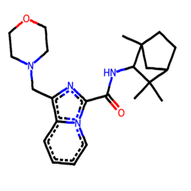 CC12CCC(C1)C(C)(C)C2NC(=O)c1nc(CN2CCOCC2)c2ccccn12